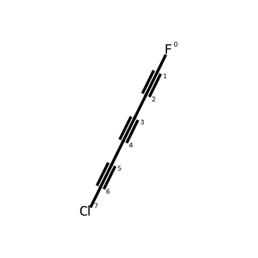 FC#CC#CC#CCl